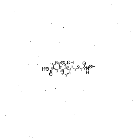 O=C(CSCCc1cccc(-c2cccc(C(=O)O)c2)c1C(=O)O)NO